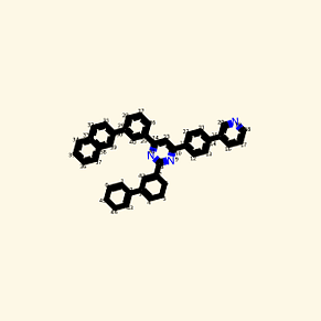 C1=CC(C2=CCCC(c3nc(-c4ccc(-c5cccnc5)cc4)cc(-c4cccc(-c5ccc6ccccc6c5)c4)n3)=C2)=CCC1